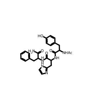 CC(=O)NC(Cc1ccc(O)cc1)C(=O)NC(Cc1ncc[nH]1)C(=O)NC(Cc1ccccc1)C(N)=O